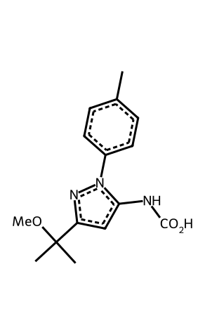 COC(C)(C)c1cc(NC(=O)O)n(-c2ccc(C)cc2)n1